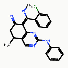 CN/C(=C1\C(=N)CC(C)c2cnc(Nc3ccccc3)nc21)c1ccccc1Cl